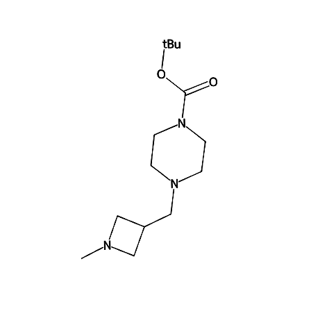 CN1CC(CN2CCN(C(=O)OC(C)(C)C)CC2)C1